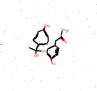 CC(O)(C(=O)O)c1ccc(O)cc1.O=C(O)C(=O)Cc1ccc(O)cc1